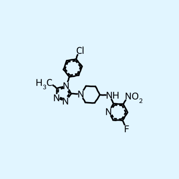 Cc1nnc(N2CCC(Nc3ncc(F)cc3[N+](=O)[O-])CC2)n1-c1ccc(Cl)cc1